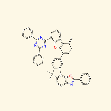 C=C1CC=C(c2ccc3c(c2)-c2c(ccc4nc(-c5ccccc5)oc24)C3(C)C)c2oc3c(-c4nc(-c5ccccc5)nc(-c5ccccc5)n4)cccc3c21